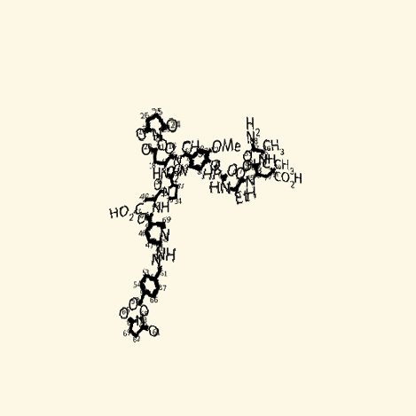 CCC(NC(=O)POc1cc([N+](=O)[O-])c(C(C)NC(=O)C(CC(=O)ON2C(=O)CCC2=O)NC(=O)C2CCCN2C(=O)C(CC(=O)O)NC(=O)c2ccc(N/N=C/c3ccc(C(=O)ON4C(=O)CCC4=O)cc3)nc2)cc1OC)C(=O)NC(CC(C)(C)C(=O)O)C(=O)NC(C)C(N)=O